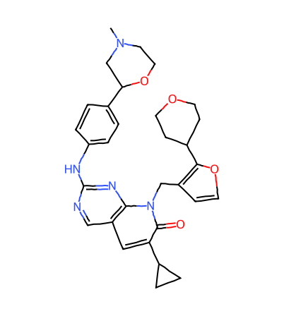 CN1CCOC(c2ccc(Nc3ncc4cc(C5CC5)c(=O)n(Cc5ccoc5C5CCOCC5)c4n3)cc2)C1